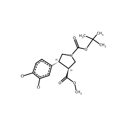 COC(=O)[C@@H]1CN(C(=O)OC(C)(C)C)C[C@H]1c1ccc(Cl)c(Cl)c1